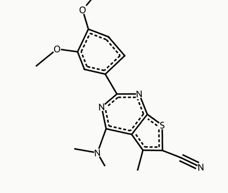 COc1ccc(-c2nc(N(C)C)c3c(C)c(C#N)sc3n2)cc1OC